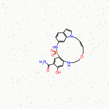 NC(=O)c1cc2c(cc1O)NCCOC/C=C\Cn1ccc3ccc(cc31)NS2(=O)=O